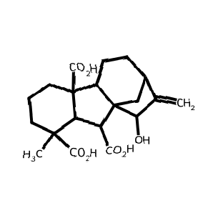 C=C1C2CCC3C4(C(=O)O)CCCC(C)(C(=O)O)C4C(C(=O)O)C3(C2)C1O